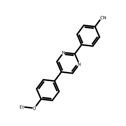 CCOc1ccc(-c2cnc(-c3ccc(C#N)cc3)nc2)cc1